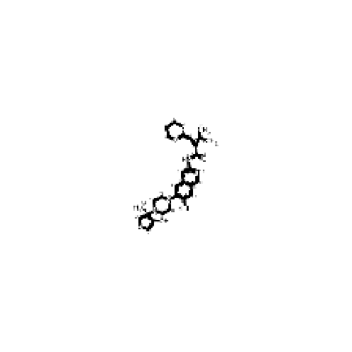 CC1(C)[C@@H]([C@H]2CCCCO2)[C@@H]1C(=O)Nc1cc2cc(N3CCN([C@]4(C)COC[C@@H]4O)CC3)c(Cl)cc2cn1